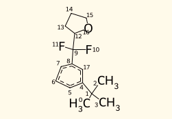 CC(C)(C)c1cccc(C(F)(F)C2CCCO2)c1